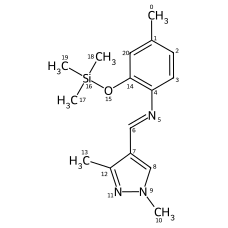 Cc1ccc(N=Cc2cn(C)nc2C)c(O[Si](C)(C)C)c1